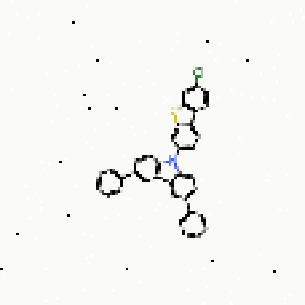 Clc1ccc2c(c1)sc1cc(-n3c4ccc(-c5ccccc5)cc4c4cc(-c5ccccc5)ccc43)ccc12